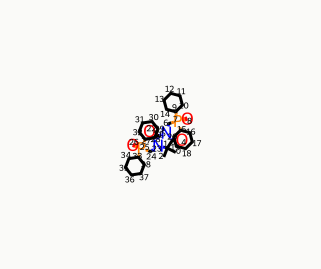 CC1(C)C(=O)N(CP(=O)(C2CCCCC2)C2CCCCC2)C(=O)N1CP(=O)(C1CCCCC1)C1CCCCC1